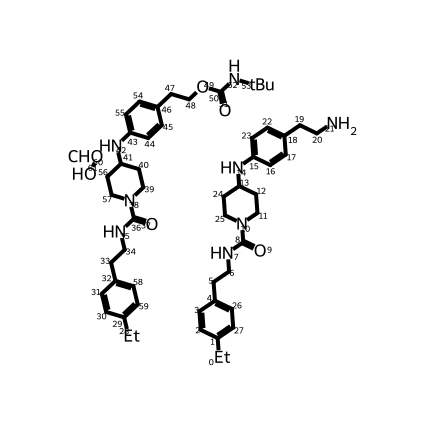 CCc1ccc(CCNC(=O)N2CCC(Nc3ccc(CCN)cc3)CC2)cc1.CCc1ccc(CCNC(=O)N2CCC(Nc3ccc(CCOC(=O)NC(C)(C)C)cc3)CC2)cc1.O=CO